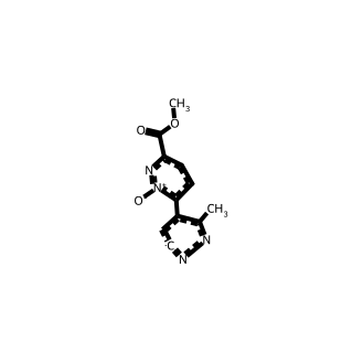 COC(=O)c1ccc(-c2c[c]nnc2C)[n+]([O-])n1